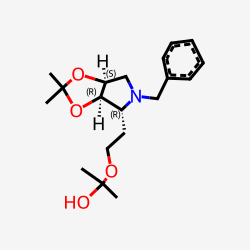 CC(C)(O)OCC[C@@H]1[C@H]2OC(C)(C)O[C@H]2CN1Cc1ccccc1